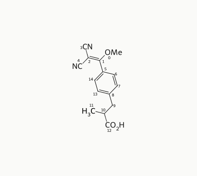 COC(=C(C#N)C#N)c1ccc(CC(C)C(=O)O)cc1